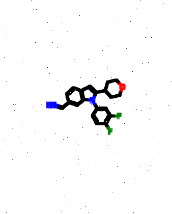 N=Cc1ccc2cc(C3CCOCC3)n(-c3ccc(F)c(F)c3)c2c1